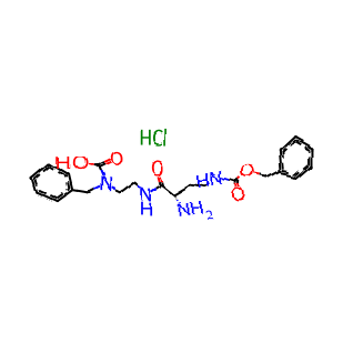 Cl.N[C@@H](CCNC(=O)OCc1ccccc1)C(=O)NCCN(Cc1ccccc1)C(=O)O